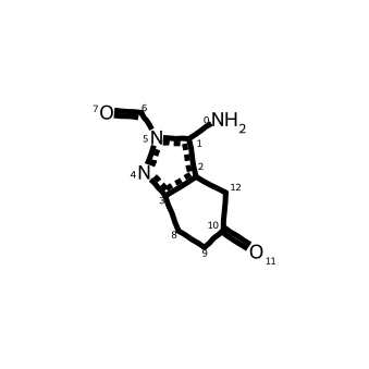 Nc1c2c(nn1C=O)CCC(=O)C2